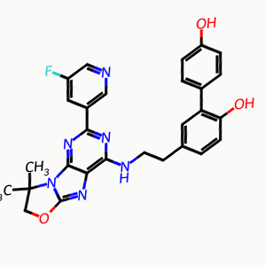 CC1(C)COc2nc3c(NCCc4ccc(O)c(-c5ccc(O)cc5)c4)nc(-c4cncc(F)c4)nc3n21